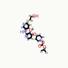 COc1c(OC2CCN(OC(=O)OC(C)C)CC2)ccnc1Nc1ccc(SCCO)nc1